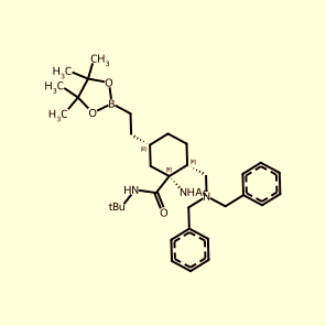 CC(=O)N[C@]1(C(=O)NC(C)(C)C)C[C@H](CCB2OC(C)(C)C(C)(C)O2)CC[C@@H]1CN(Cc1ccccc1)Cc1ccccc1